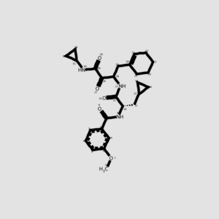 COc1cccc(C(=O)N[C@@H](CC2CC2)C(=O)NC(CC2=CCCCC2)C(=O)C(=O)NC2CC2)c1